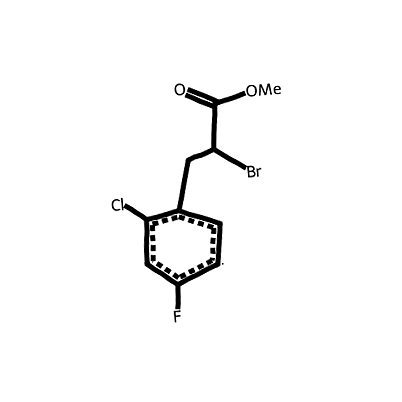 COC(=O)C(Br)Cc1c[c]c(F)cc1Cl